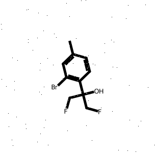 Cc1ccc(C(O)(CF)CF)c(Br)c1